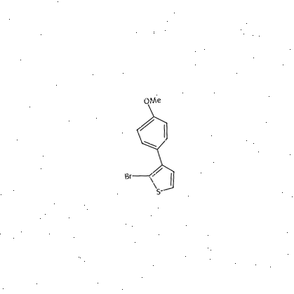 COc1ccc(-c2ccsc2Br)cc1